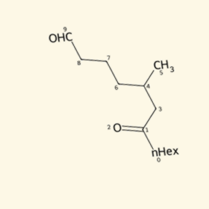 CCCCCCC(=O)CC(C)CCCC=O